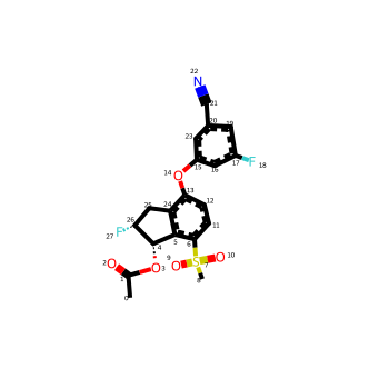 CC(=O)O[C@H]1c2c(S(C)(=O)=O)ccc(Oc3cc(F)cc(C#N)c3)c2C[C@H]1F